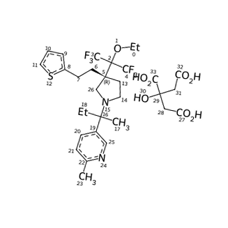 CCOC(C(F)(F)F)(C(F)(F)F)[C@]1(CCc2cccs2)CCN(C(C)(CC)c2ccc(C)nc2)C1.O=C(O)CC(O)(CC(=O)O)C(=O)O